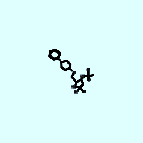 CCC1(CC)C[C@H](NS(C)(=O)=O)[C@H](CO[C@H]2CC[C@@H](c3ccccc3)CC2)N1